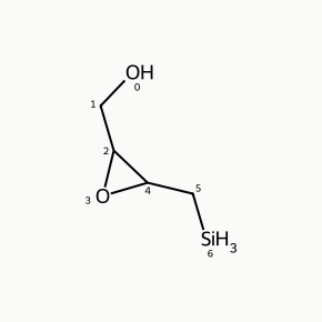 OCC1OC1C[SiH3]